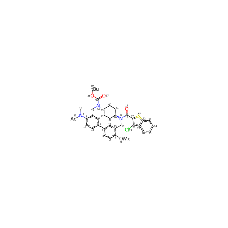 COc1ccc(-c2ccc(N(C)C(C)=O)cc2)cc1CN(C(=O)c1sc2ccccc2c1Cl)[C@H]1CC[C@H](N(C)C(=O)OC(C)(C)C)CC1